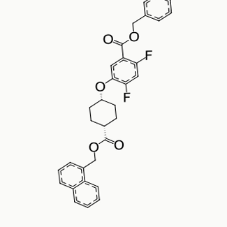 O=C(OCc1ccccc1)c1cc(O[C@H]2CC[C@@H](C(=O)OCc3cccc4ccccc34)CC2)c(F)cc1F